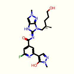 C[C@H](CCCO)Cn1/c(=N/C(=O)c2cc(F)nc(-c3cnn(C)c3O)c2)[nH]c2cn(C)nc21